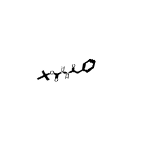 CC(C)(C)OC(=O)NNC(=O)Cc1ccccc1